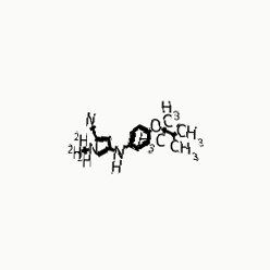 [2H]C([2H])([2H])n1cc(Nc2ccc(OC(C)(C)C(C)C)cc2)cc1C#N